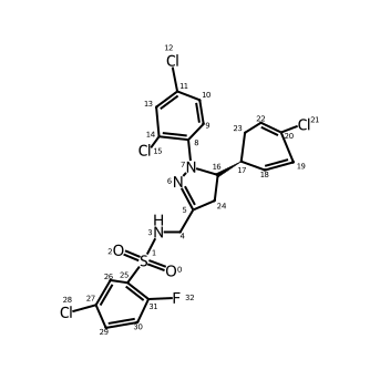 O=S(=O)(NCC1=NN(c2ccc(Cl)cc2Cl)C([C@@H]2C=CC(Cl)=CC2)C1)c1cc(Cl)ccc1F